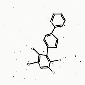 Clc1cc(Cl)c(Cl)c(-c2ccc(-c3ccccc3)cc2)c1Cl